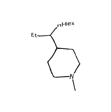 CCCCCCC(CC)C1CCN(C)CC1